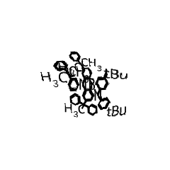 CC(C)(C)c1ccc(N2c3ccc(C(C)(C)C)cc3B3c4ccc(C(C)(C)c5ccccc5)cc4N(c4cccc(C(C)(C)c5ccccc5)c4)c4cc(C(C)(C5=CCCC=C5)C5=CC=CCC5)cc2c43)cc1